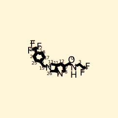 O=C(NCC(F)F)c1cnc2c(c1)CN(Cc1ccc(C(F)(F)F)cc1)C2